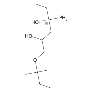 CCC(C)(C)OCC(O)C[C@](O)(P)CC